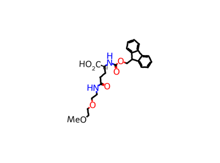 COCCOCCNC(=O)CC[C@H](NC(=O)OCC1c2ccccc2-c2ccccc21)C(=O)O